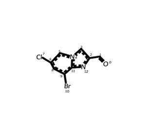 O=Cc1cn2cc(Cl)cc(Br)c2n1